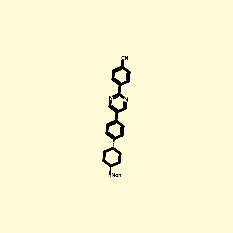 CCCCCCCCC[C@H]1CC[C@H](c2ccc(-c3cnc(-c4ccc(C#N)cc4)nc3)cc2)CC1